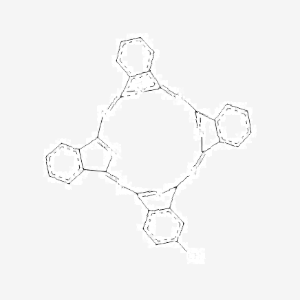 Cc1ccc2c(c1)C1N=C2/N=C2N=C(/N=c3\[nH]/c(c4ccccc34)=N\C3=NC(=N\1)/c1ccccc13)c1ccccc1\2